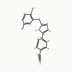 Cc1ccc(F)c(Cc2ccc(-c3ccc(C#N)cc3)s2)c1